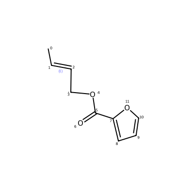 C/C=C/[CH]OC(=O)c1ccco1